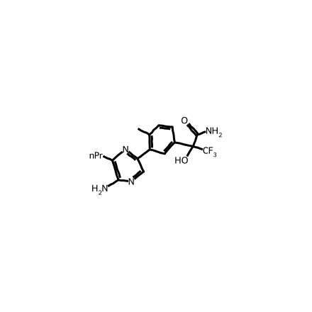 CCCc1nc(-c2cc(C(O)(C(N)=O)C(F)(F)F)ccc2C)cnc1N